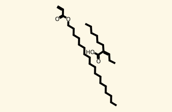 C=CC(=O)OCCCCCCCCCCCCCCCCCC.CCC=C(CCCCCC)C(=O)O